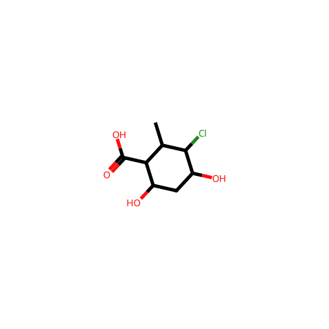 CC1C(Cl)C(O)CC(O)C1C(=O)O